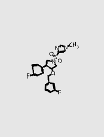 Cn1cnc(S(=O)(=O)N2CC(OCc3cccc(F)c3)C(c3ccc(F)cc3)C2)c1